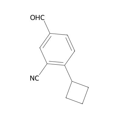 N#Cc1cc(C=O)ccc1C1CCC1